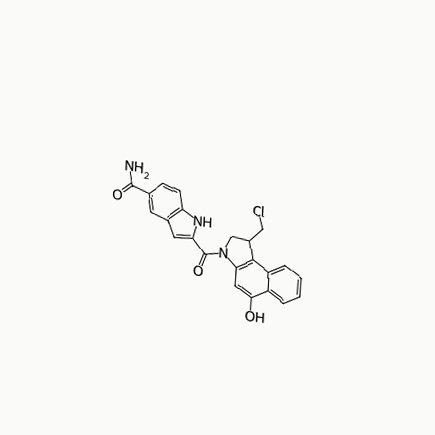 NC(=O)c1ccc2[nH]c(C(=O)N3CC(CCl)c4c3cc(O)c3ccccc43)cc2c1